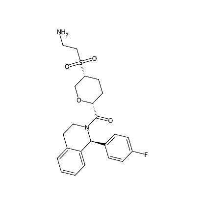 NCCS(=O)(=O)[C@@H]1CC[C@H](C(=O)N2CCc3ccccc3[C@@H]2c2ccc(F)cc2)OC1